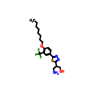 CCCCCCCCOc1ccc(-c2nnc(C(CN)CO)s2)cc1C(F)(F)F